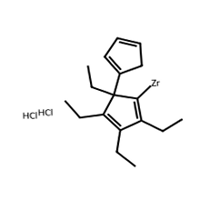 CCC1=[C]([Zr])C(CC)(C2=CC=CC2)C(CC)=C1CC.Cl.Cl